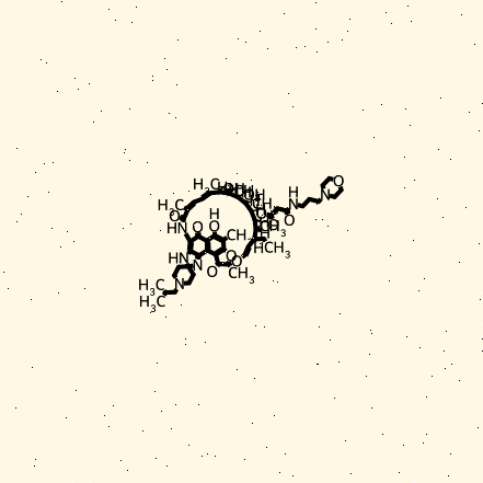 CC[C@H]1/C=C/O[C@@]2(C)Oc3c(C)c(O)c4c(c3C2=O)C2=NC3(CCN(CC(C)C)CC3)NC2=C(NC(=O)/C(C)=C\C=C\[C@H](C)[C@H](O)[C@@H](C)[C@@H](O)[C@@H](C)[C@H](OC(=O)CC(=O)NCCCN2CCOCC2)[C@@H]1C)C4=O